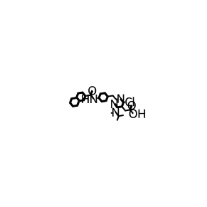 CC(C)N(C)c1nc(Cc2ccc(NC(=O)c3ccc4ccccc4c3)cc2)nc(Cl)c1CC(=O)O